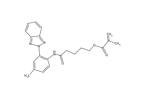 C=C(C)C(=O)OCCCCC(=O)Nc1ccc(C)cc1-n1nc2ccccc2n1